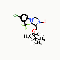 CC(C)(C)[Si](C)(C)OCC1CN(c2ccc(Cl)cc2C(F)(F)F)CCN1C=O